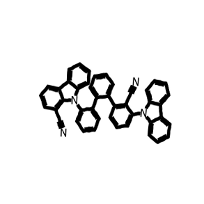 N#Cc1c(-c2ccccc2-c2ccccc2-n2c3ccccc3c3cccc(C#N)c32)cccc1-n1c2ccccc2c2ccccc21